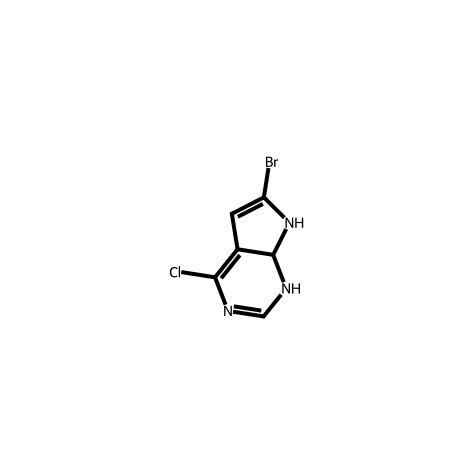 ClC1=C2C=C(Br)NC2NC=N1